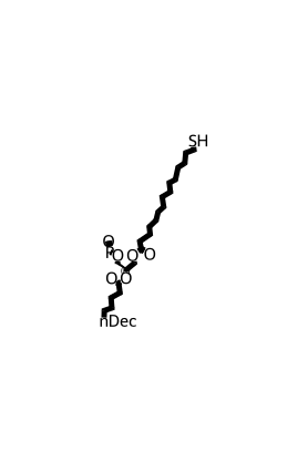 CCCCCCCCCCCCCCC(=O)O[C@@H](COP=O)COC(=O)CCCCCCCCCCCCCCS